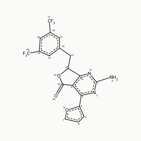 Nc1nc(-c2ccco2)c2c(n1)C(Cc1cc(C(F)(F)F)cc(C(F)(F)F)c1)OC2=O